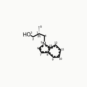 C[C@@H](CO)Cn1ccc2ccccc21